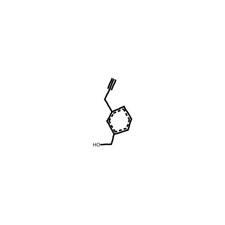 C#CCc1cccc(CO)c1